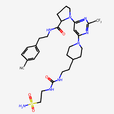 N#Cc1ccc(CCNC(=O)C2CCCN2c2cc(N3CCC(CCNC(=O)NCCS(N)(=O)=O)CC3)nc(C(F)(F)F)n2)cc1